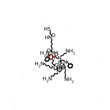 NCCCCN(CC(=O)N(CCCCN)CC(=O)N(CCCCN)CC(=O)N(CC(=O)N(CCCCN)CC(=O)N(CC(N)=O)Cc1ccccc1)Cc1ccccc1)C(=O)CCCCCNC(=O)CCCCCNC(=O)CCS